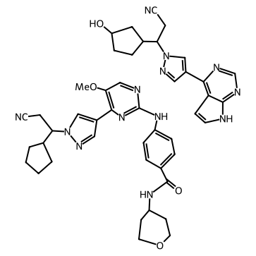 COc1cnc(Nc2ccc(C(=O)NC3CCOCC3)cc2)nc1-c1cnn(C(CC#N)C2CCCC2)c1.N#CCC(C1CCC(O)C1)n1cc(-c2ncnc3[nH]ccc23)cn1